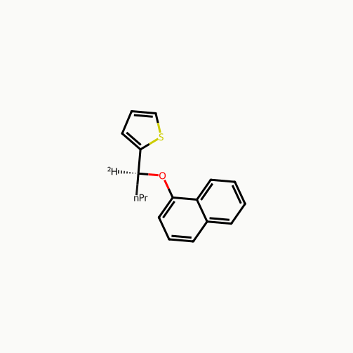 [2H][C@@](CCC)(Oc1cccc2ccccc12)c1cccs1